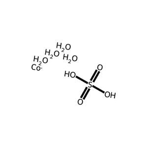 O.O.O.O.O=S(=O)(O)O.[Co]